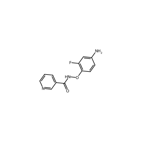 Nc1ccc(ONC(=O)c2cccnc2)c(F)c1